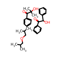 CC(C)(O)C(=O)c1ccccc1.CC(C)COCC(C)C.O=C(c1ccccc1)C(O)c1ccccc1